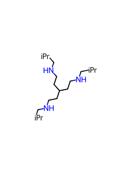 CC(C)CNCCC(CCNCC(C)C)CCNCC(C)C